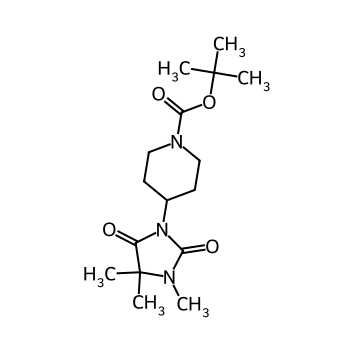 CN1C(=O)N(C2CCN(C(=O)OC(C)(C)C)CC2)C(=O)C1(C)C